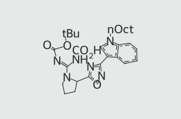 CCCCCCCCn1cc(-c2noc(C3CCCN3C(=NC(=O)OC(C)(C)C)NC(=O)O)n2)c2ccccc21